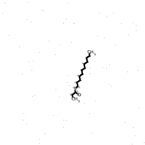 CCCCCCCCCCCCSC([O])CC